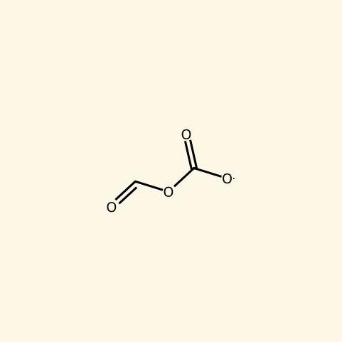 [O]C(=O)OC=O